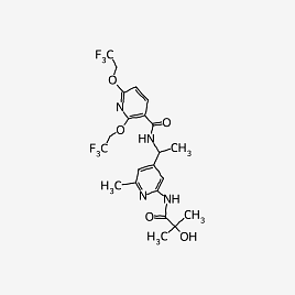 Cc1cc(C(C)NC(=O)c2ccc(OCC(F)(F)F)nc2OCC(F)(F)F)cc(NC(=O)C(C)(C)O)n1